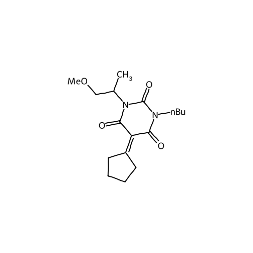 CCCCN1C(=O)C(=C2CCCC2)C(=O)N(C(C)COC)C1=O